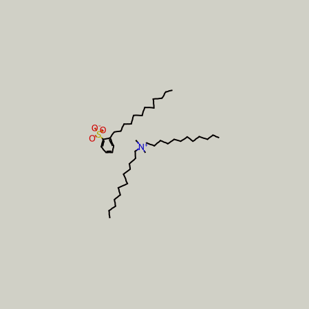 CCCCCCCCCCCC[N+](C)(C)CCCCCCCCCCCC.CCCCCCCCCCCCc1ccccc1S(=O)(=O)[O-]